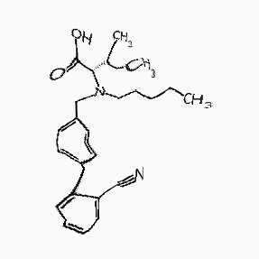 CCCCCN(Cc1ccc(-c2ccccc2C#N)cc1)[C@H](C(=O)O)C(C)C